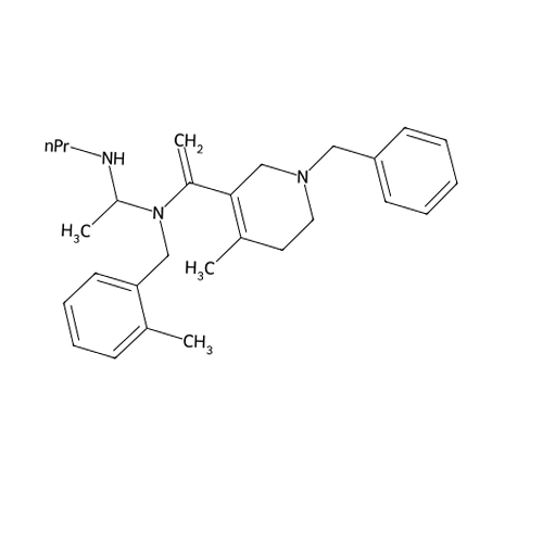 C=C(C1=C(C)CCN(Cc2ccccc2)C1)N(Cc1ccccc1C)C(C)NCCC